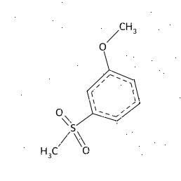 COc1cc[c]c(S(C)(=O)=O)c1